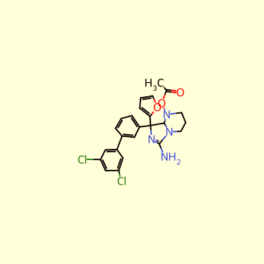 CC(=O)ON1CCCN2C(N)=NC(c3cccc(-c4cc(Cl)cc(Cl)c4)c3)(c3ccco3)C12